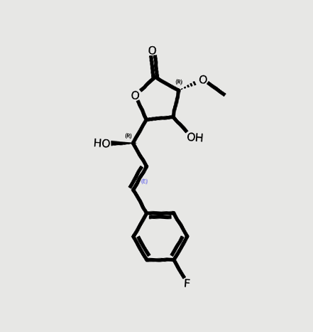 CO[C@H]1C(=O)OC([C@H](O)/C=C/c2ccc(F)cc2)C1O